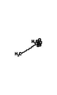 CCCCCCCCCCCCCCCC(=O)C(C)N1C(=O)C=CC1=O